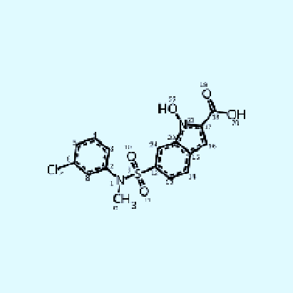 CN(c1cccc(Cl)c1)S(=O)(=O)c1ccc2cc(C(=O)O)n(O)c2c1